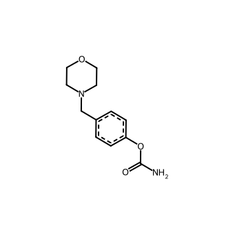 NC(=O)Oc1ccc(CN2CCOCC2)cc1